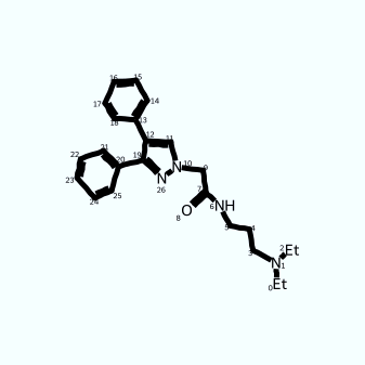 CCN(CC)CCCNC(=O)Cn1cc(-c2ccccc2)c(-c2ccccc2)n1